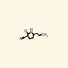 C=CCc1[c]cc(C#N)c(=O)[nH]1